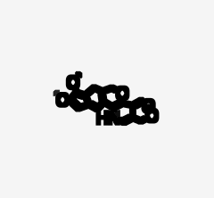 COC1=CC2=CC3=C(COC4=C3NC=C3COOC=C34)CC2=C1OC